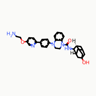 NCCOc1ccc(-c2ccc(N3CCN(C(=O)NC4[C@@H]5CC6C[C@H]4CC(O)(C6)C5)c4ccccc43)cc2)nc1